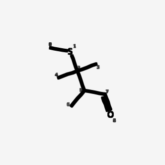 CSC(C)(C)C(C)C=O